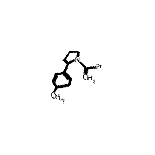 C=C(C(C)C)N1CCCC1c1ccc(C)cc1